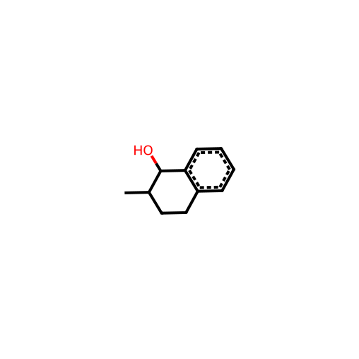 CC1CCc2ccccc2C1O